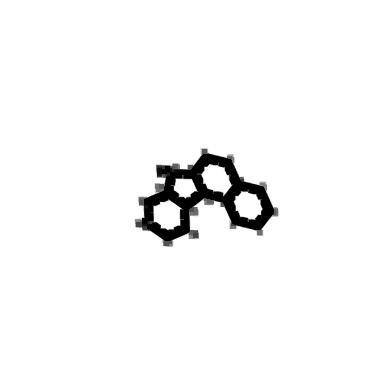 c1ccc2c(c1)ccc1[nH]c3cnccc3c12